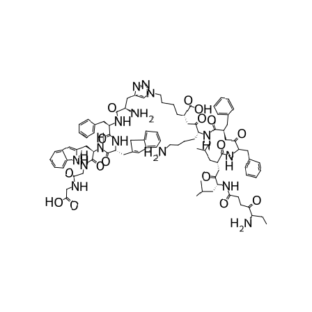 CC[C@@H](N)C(=O)CCC(=O)N[C@H](CC(C)C)C(=O)C[C@H](CC(C)C)C(=O)NC(Cc1ccccc1)C(=O)C[C@H](Cc1ccccc1)C(=O)N[C@H](CCCCN)C(=O)C[C@H](CCCCn1cc(C[C@@H](N)C(=O)N[C@H](Cc2ccccc2)C(=O)N[C@H](CC2=Cc3ccccc3C2)C(=O)N[C@H](Cc2cc3ccccc3[nH]2)C(=O)NCC(=O)NCC(=O)O)nn1)C(=O)O